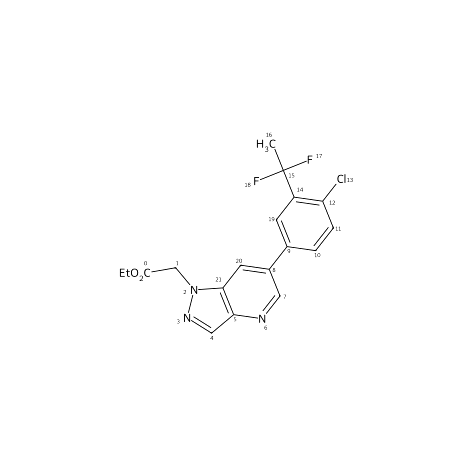 CCOC(=O)Cn1ncc2ncc(-c3ccc(Cl)c(C(C)(F)F)c3)cc21